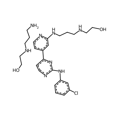 NCCCNCCO.OCCNCCCNc1cc(-c2ccnc(Nc3cccc(Cl)c3)n2)ccn1